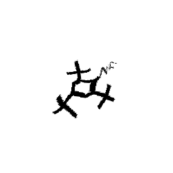 [C-]#[N+]c1c(C(C)(C)C)cc(C(C)(C)C)cc1C(C)(C)C